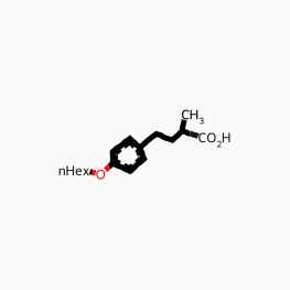 CCCCCCOc1ccc(CCC(C)C(=O)O)cc1